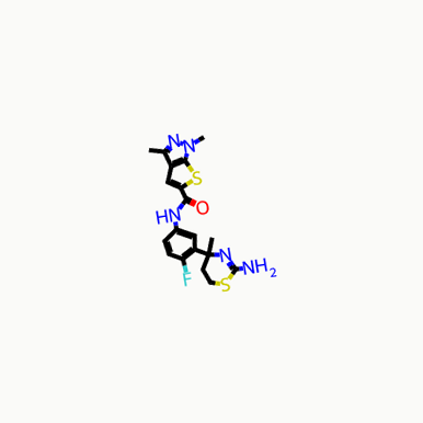 Cc1nn(C)c2sc(C(=O)Nc3ccc(F)c(C4(C)CCSC(N)=N4)c3)cc12